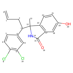 C=CCC(c1ccc(Cl)c(Cl)c1)C1(C)NC(=O)c2cc(O)ccc21